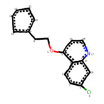 Clc1ccc2c(OCCc3ccccc3)ccnc2c1